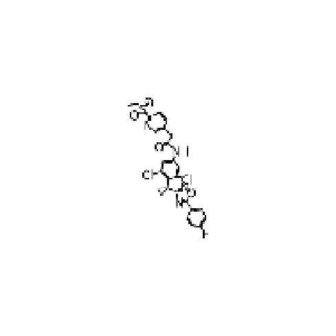 CCS(=O)(=O)c1ccc(CC(=O)Nc2cc(Cl)c(C3(c4noc(-c5ccc(F)cc5)n4)CC3)c(Cl)c2)cn1